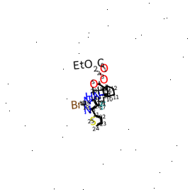 CCOC(=O)OCOC(=O)[C@@H]1C2CCC(CC2)[C@H]1Nc1nc(Br)nc(-c2cccs2)c1F